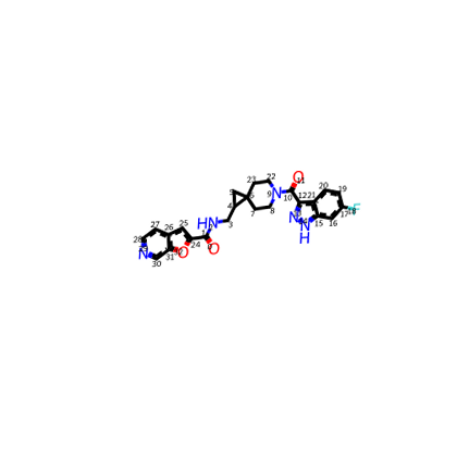 O=C(NCC1CC12CCN(C(=O)c1n[nH]c3cc(F)ccc13)CC2)c1cc2ccncc2o1